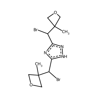 CC1(C(Br)c2n[nH]c(C(Br)C3(C)COC3)n2)COC1